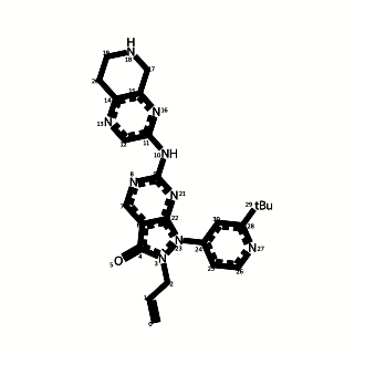 C=CCn1c(=O)c2cnc(Nc3cnc4c(n3)CNCC4)nc2n1-c1ccnc(C(C)(C)C)c1